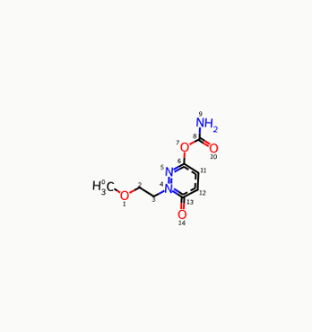 COCCn1nc(OC(N)=O)ccc1=O